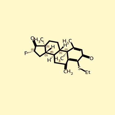 C=C1C[C@@H]2[C@H](CC[C@]3(C)C(=O)[C@@H](F)C[C@@H]23)[C@@]2(C)C(C)=CC(=O)C(SCC)=C12